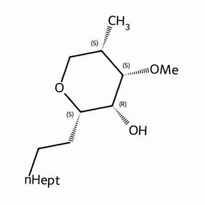 CCCCCCCCC[C@@H]1OC[C@H](C)[C@H](OC)[C@@H]1O